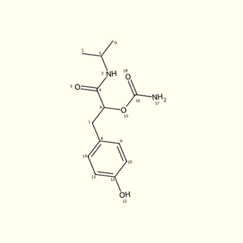 CC(C)NC(=O)C(Cc1ccc(O)cc1)OC(N)=O